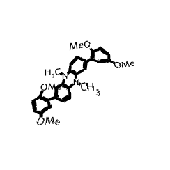 COc1ccc(OC)c(-c2ccc3c(c2)N(C)c2ccc(-c4cc(OC)ccc4OC)cc2N3C)c1